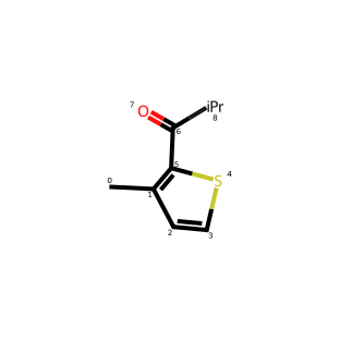 Cc1ccsc1C(=O)C(C)C